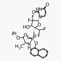 CC(C)OC(=O)[C@H](C)NP(=S)(OC[C@@]1(C(F)F)O[C@@H](n2ccc(=O)[nH]c2=O)C(F)(F)[C@@H]1O)Oc1cccc2ccccc12